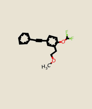 COCCc1cc(C#Cc2ccccc2)ccc1OC(F)F